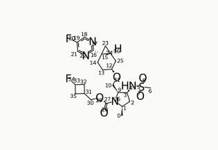 C[C@@H]1C[C@H](NS(C)(=O)=O)[C@H](CO[C@H]2CC[C@@]3(c4ncc(F)cn4)C[C@H]3C2)N1C(=O)OCC1CC(F)C1